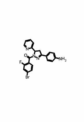 Nc1ccc(C2=NN(C(=O)c3ccc(Br)cc3F)C(c3ccccn3)C2)cc1